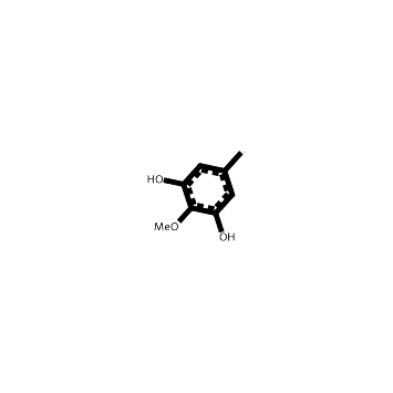 [CH2]c1cc(O)c(OC)c(O)c1